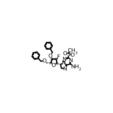 CS(=O)(=O)C1=NN2C(=NCC2[C@@H]2O[C@H](COCc3ccccc3)[C@@H](OCc3ccccc3)[C@H]2F)C(N)=N1